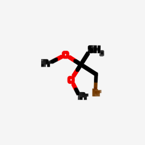 CC(C)OC([SiH3])(CBr)OC(C)C